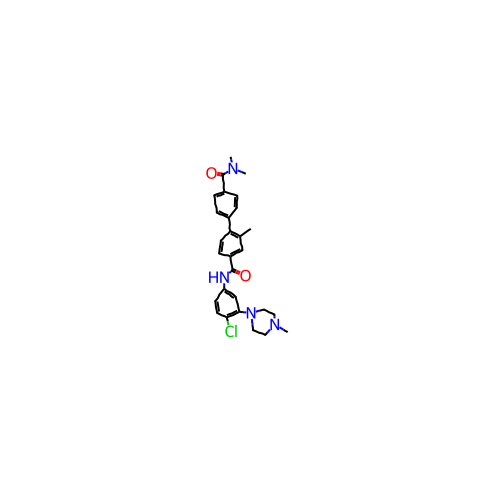 Cc1cc(C(=O)Nc2ccc(Cl)c(N3CCN(C)CC3)c2)ccc1-c1ccc(C(=O)N(C)C)cc1